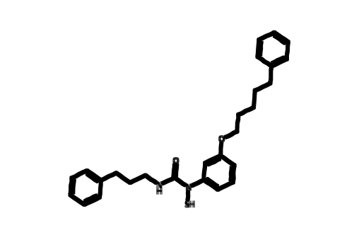 O=C(NCCCc1ccccc1)N(S)c1cccc(OCCCCCc2ccccc2)c1